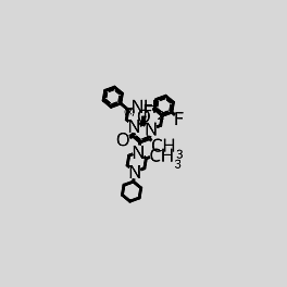 Cc1c(N2CCN(C3CCCCC3)CC2C)c(=O)n(C[C@H](N)c2ccccc2)c(=O)n1Cc1c(F)cccc1F